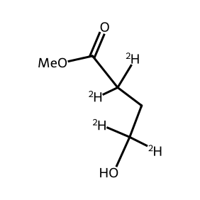 [2H]C([2H])(O)CC([2H])([2H])C(=O)OC